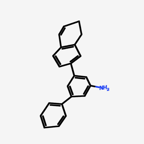 Nc1cc(-c2ccccc2)cc(-c2ccc3c(c2)CCC=C3)c1